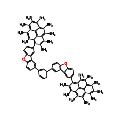 Bc1c(B)c2c(B)c(B)c3c(B)c(B)c(-c4ccc5oc6ccc(-c7cccc(-c8ccc9oc%10ccc(-c%11c(B)c(B)c%12c(B)c(B)c%13c(B)c(B)c(B)c%14c(B)c(B)c%11c%12c%13%14)cc%10c9c8)c7)cc6c5c4)c4c(B)c(B)c(c1B)c2c34